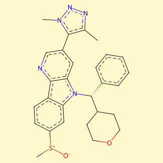 Cc1nnn(C)c1-c1cnc2c3ccc([S+](C)[O-])cc3n([C@H](c3ccccc3)C3CCOCC3)c2c1